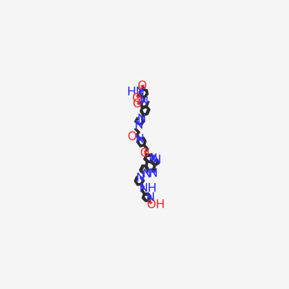 N#Cc1cnn2cc(OCC3CCN(C(=O)CCN4CCN(c5ccc6c(c5)C(=O)N(C5CCC(=O)NC5=O)C6)CC4)CC3)cc(-c3ccc(N4CCCC(NCc5ccc(O)nc5)C4)nc3)c12